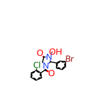 O=C1CN(C(=O)c2ccccc2Cl)C(c2cccc(Br)c2)N1O